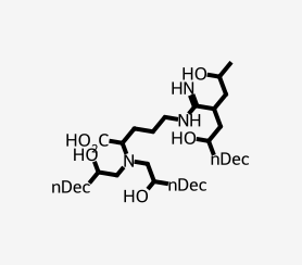 CCCCCCCCCCC(O)CC(CC(C)O)C(=N)NCCCC(C(=O)O)N(CC(O)CCCCCCCCCC)CC(O)CCCCCCCCCC